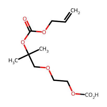 C=CCOC(=O)OC(C)(C)COCCOC(=O)O